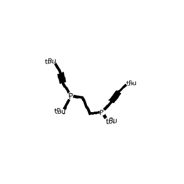 CC(C)(C)C#CP(CCP(C#CC(C)(C)C)C(C)(C)C)C(C)(C)C